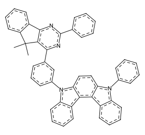 CC1(C)c2ccccc2-c2nc(-c3ccccc3)nc(-c3cccc(-n4c5ccccc5c5c6c7ccccc7n(-c7ccccc7)c6ccc54)c3)c21